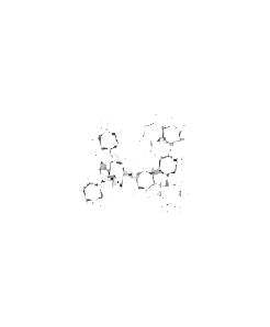 CC1CC=Cc2cccc(-c3ccc(C4(c5ccc(-c6cc(-c7ccccc7)nc(-c7ccccc7)n6)cc5)CCCCC4)cc3)c21